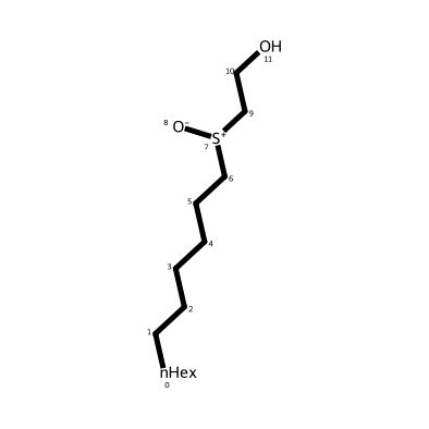 CCCCCCCCCCCC[S+]([O-])CCO